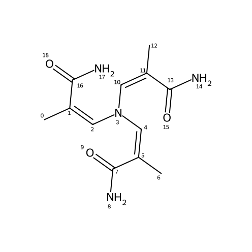 CC(=CN(C=C(C)C(N)=O)C=C(C)C(N)=O)C(N)=O